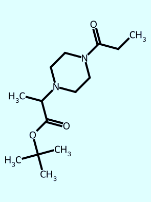 CCC(=O)N1CCN(C(C)C(=O)OC(C)(C)C)CC1